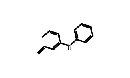 C=C/C=C(\C=C/C)Nc1ccccc1